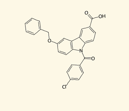 O=C(O)c1ccc2c(c1)c1cc(OCc3ccccc3)ccc1n2C(=O)c1ccc(Cl)cc1